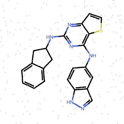 c1ccc2c(c1)CC(Nc1nc(Nc3ccc4[nH]ncc4c3)c3sccc3n1)C2